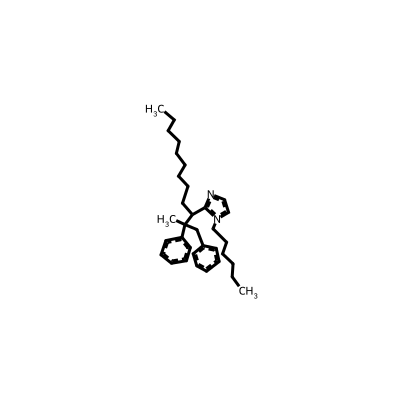 CCCCCCCCCC(c1nccn1CCCCCC)C(C)(Cc1ccccc1)c1ccccc1